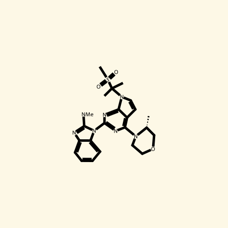 CNc1nc2ccccc2n1-c1nc(N2CCOC[C@H]2C)c2ccn(C(C)(C)S(C)(=O)=O)c2n1